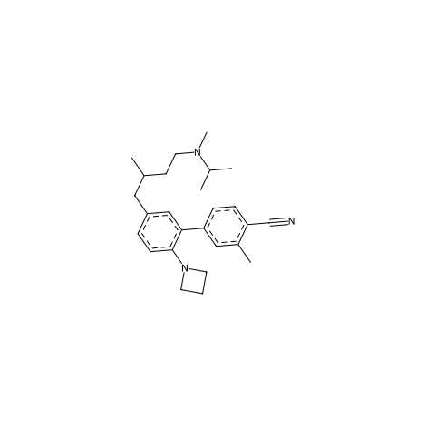 Cc1cc(-c2cc(CC(C)CCN(C)C(C)C)ccc2N2CCC2)ccc1C#N